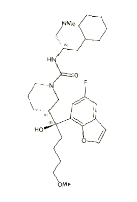 CNC[C@H](CC1CCCCC1)NC(=O)N1CCC[C@@H]([C@@](O)(CCCCOC)c2cc(F)cc3ccoc23)C1